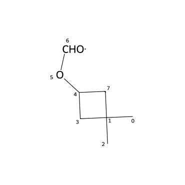 CC1(C)CC(O[C]=O)C1